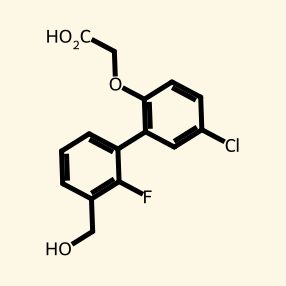 O=C(O)COc1ccc(Cl)cc1-c1cccc(CO)c1F